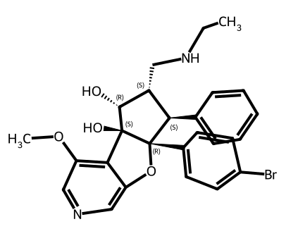 CCNC[C@H]1[C@@H](O)[C@@]2(O)c3c(OC)cncc3O[C@@]2(c2ccc(Br)cc2)[C@@H]1c1ccccc1